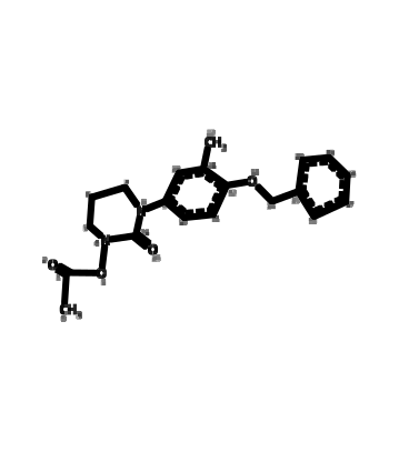 CC(=O)ON1CCCN(c2ccc(OCc3ccccc3)c(C)c2)C1=O